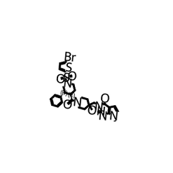 Cn1ccc2c(=O)n(CC3(O)CCN(C(=O)[C@@H]4CCN(S(=O)(=O)c5ccc(Br)s5)C[C@H]4c4ccccc4)CC3)cnc21